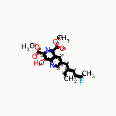 C=C/C(=C\C=C(/C)F)Cc1cnc2c(O)c(C(=O)OC)nc(C(=O)OC)c2c1